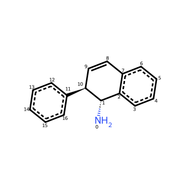 N[C@H]1c2ccccc2C=C[C@@H]1c1ccccc1